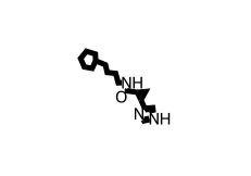 O=C(NCCCCC1CCCCC1)C1CC1c1c[nH]cn1